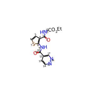 CCOC(=O)NC(=O)c1ccsc1NC(=O)c1ccnnc1